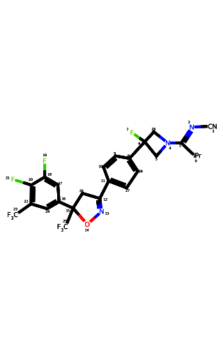 CC(C)C(=NC#N)N1CC(F)(c2ccc(C3=NOC(c4cc(F)c(F)c(C(F)(F)F)c4)(C(F)(F)F)C3)cc2)C1